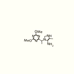 COc1nc(OC)nc(C(C)N2CNC(C)=C2N)n1